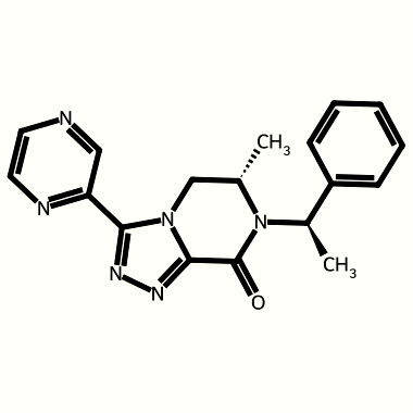 C[C@H](c1ccccc1)N1C(=O)c2nnc(-c3cnccn3)n2C[C@@H]1C